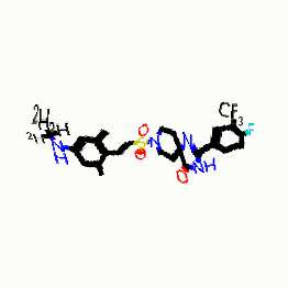 [2H]C([2H])([2H])Nc1cc(C)c(/C=C/S(=O)(=O)N2CCC3(CC2)N=C(c2ccc(F)c(C(F)(F)F)c2)NC3=O)c(C)c1